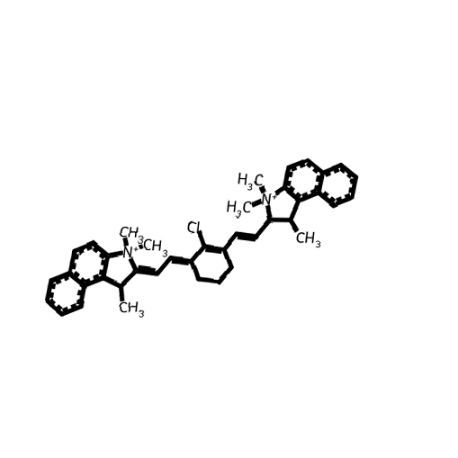 CC1C(=CC=C2CCCC(C=CC3C(C)c4c(ccc5ccccc45)[N+]3(C)C)=C2Cl)[N+](C)(C)c2ccc3ccccc3c21